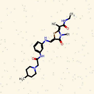 CCn1c(=C(C#N)C(=O)NCC(F)(F)F)sc(=CNc2cccc(NC(=O)CN3CCC(C)CC3)c2)c1=O